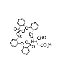 CCc1ccccc1Oc1ccccc1S(=O)(=O)Cl.CCc1ccccc1Oc1ccccc1S(=O)(=O)NC(C=O)CC(=O)O